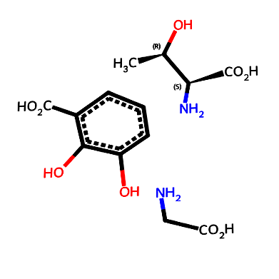 C[C@@H](O)[C@H](N)C(=O)O.NCC(=O)O.O=C(O)c1cccc(O)c1O